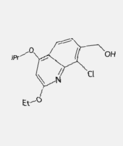 CCOc1cc(OC(C)C)c2ccc(CO)c(Cl)c2n1